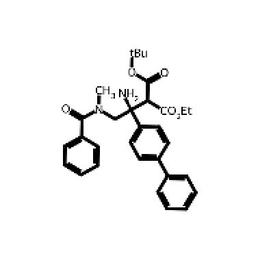 CCOC(=O)C(C(=O)OC(C)(C)C)C(N)(CN(C)C(=O)c1ccccc1)c1ccc(-c2ccccc2)cc1